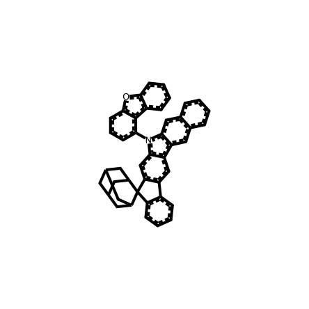 c1ccc2c(c1)-c1cc3c4cc5ccccc5cc4n(-c4cccc5oc6ccccc6c45)c3cc1C21C2CC3CC(C2)CC1C3